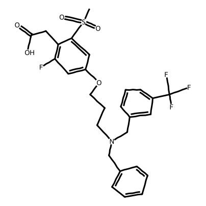 CS(=O)(=O)c1cc(OCCCN(Cc2ccccc2)Cc2cccc(C(F)(F)F)c2)cc(F)c1CC(=O)O